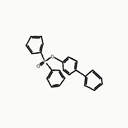 O=P(Oc1ccc(-c2ccccc2)cc1)(c1ccccc1)c1ccccc1